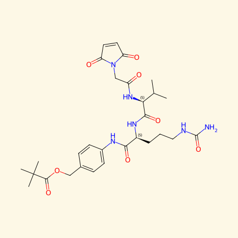 CC(C)[C@H](NC(=O)CN1C(=O)C=CC1=O)C(=O)N[C@@H](CCCNC(N)=O)C(=O)Nc1ccc(COC(=O)C(C)(C)C)cc1